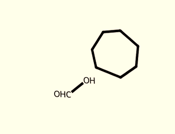 C1CCCCCC1.O=CO